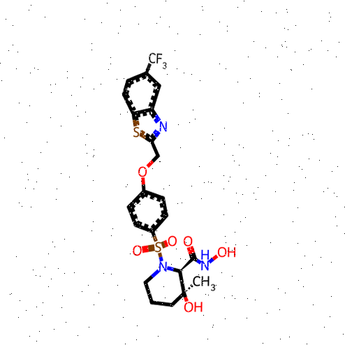 C[C@]1(O)CCCN(S(=O)(=O)c2ccc(OCc3nc4cc(C(F)(F)F)ccc4s3)cc2)[C@H]1C(=O)NO